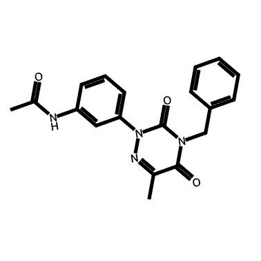 CC(=O)Nc1cccc(-n2nc(C)c(=O)n(Cc3ccccc3)c2=O)c1